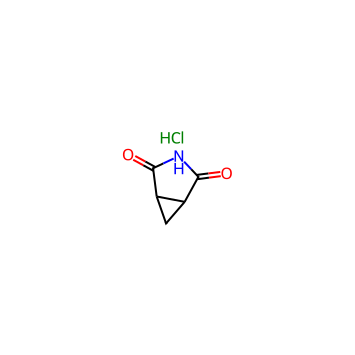 Cl.O=C1NC(=O)C2CC12